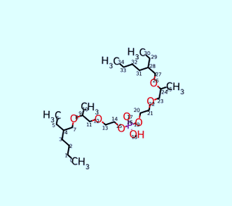 CCCCC(CC)COC(C)COCCOP(=O)(O)OCCOCC(C)OCC(CC)CCCC